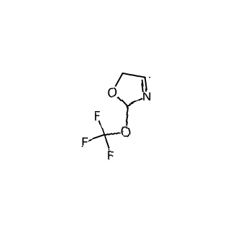 FC(F)(F)OC1N=[C]CO1